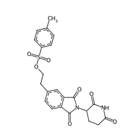 Cc1ccc(S(=O)(=O)OCCc2ccc3c(c2)C(=O)N(C2CCC(=O)NC2=O)C3=O)cc1